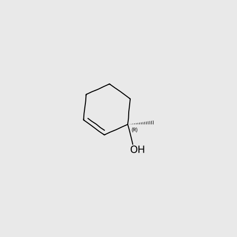 C[C@]1(O)C=CCCC1